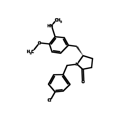 CNc1cc(C[C@@H]2CCC(=O)N2Cc2ccc(Cl)cc2)ccc1OC